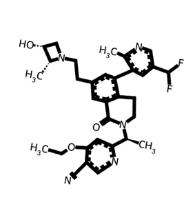 CCOc1cc([C@H](C)N2CCc3c(cc(CCN4C[C@@H](O)[C@H]4C)cc3-c3cc(C(F)F)cnc3C)C2=O)ncc1C#N